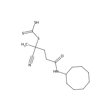 CC(C#N)(CCC(=O)NC1CCCCCCC1)SC(=S)S